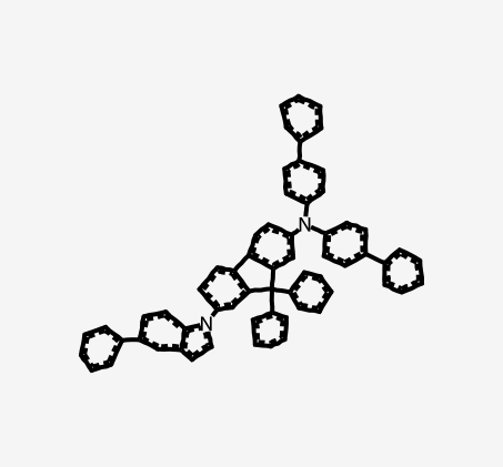 c1ccc(-c2ccc(N(c3ccc(-c4ccccc4)cc3)c3ccc4c(c3)C(c3ccccc3)(c3ccccc3)c3cc(-n5ccc6cc(-c7ccccc7)ccc65)ccc3-4)cc2)cc1